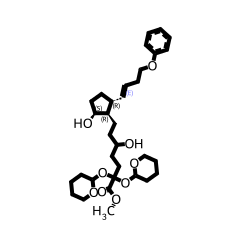 COC(=O)C(CCC(O)CC[C@H]1[C@@H](O)CC[C@@H]1/C=C/CCOc1ccccc1)(OC1CCCCO1)OC1CCCCO1